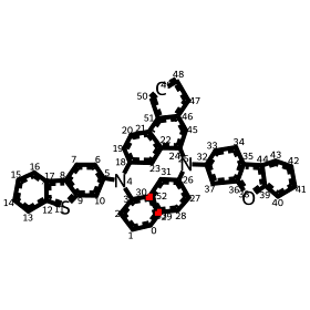 c1ccc(N(c2ccc3c(c2)sc2ccccc23)c2ccc3c(c2)c(N(c2ccccc2)c2ccc4c(c2)oc2ccccc24)cc2ccccc23)cc1